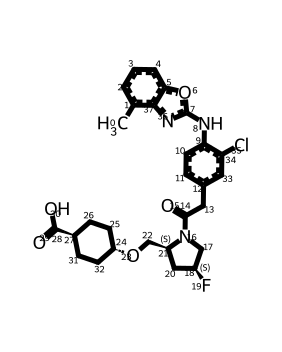 Cc1cccc2oc(Nc3ccc(CC(=O)N4C[C@@H](F)C[C@H]4CO[C@H]4CC[C@H](C(=O)O)CC4)cc3Cl)nc12